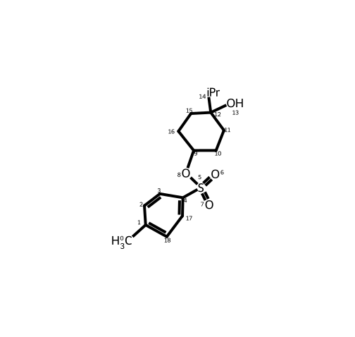 Cc1ccc(S(=O)(=O)OC2CCC(O)(C(C)C)CC2)cc1